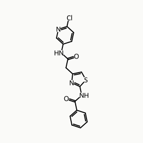 O=C(Cc1csc(NC(=O)c2ccccc2)n1)Nc1ccc(Cl)nc1